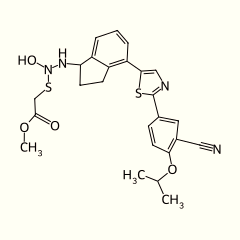 COC(=O)CSN(O)NC1CCc2c(-c3cnc(-c4ccc(OC(C)C)c(C#N)c4)s3)cccc21